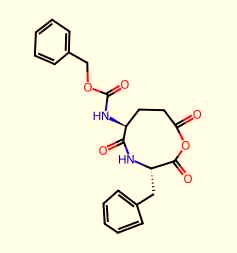 O=C1CC[C@H](NC(=O)OCc2ccccc2)C(=O)N[C@@H](Cc2ccccc2)C(=O)O1